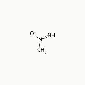 C[N+](=N)[O-]